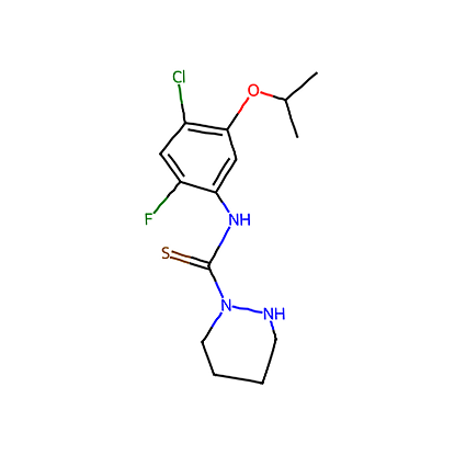 CC(C)Oc1cc(NC(=S)N2CCCCN2)c(F)cc1Cl